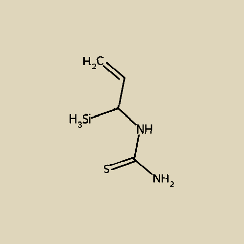 C=CC([SiH3])NC(N)=S